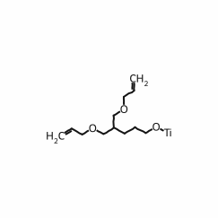 C=CCOCC(CCC[O][Ti])COCC=C